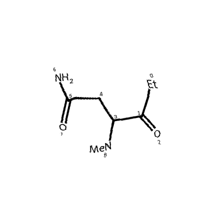 CCC(=O)C(CC(N)=O)NC